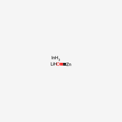 [InH3].[LiH].[O]=[Zn]